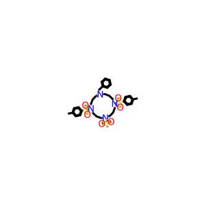 Cc1ccc(S(=O)(=O)N2CCCN(Cc3ccccc3)CCCN(S(=O)(=O)c3ccc(C)cc3)CCCN(S(C)(=O)=O)CCC2)cc1